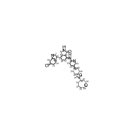 O=C1NCc2c(-c3cnc4cc(Cl)ccn34)ccc(Nc3ccc(N4CCC5(C=C(C6CCCCOCC6)O5)CC4)cn3)c21